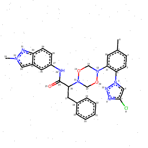 Cc1ccc(-n2cc(Cl)nn2)c(N2CON(C(Cc3ccccc3)C(=O)Nc3ccc4nn(C)cc4c3)CO2)c1